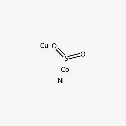 O=S=O.[Co].[Cu].[Ni]